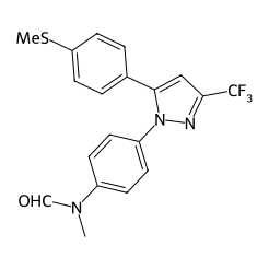 CSc1ccc(-c2cc(C(F)(F)F)nn2-c2ccc(N(C)C=O)cc2)cc1